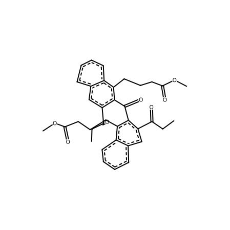 CCC(=O)c1cc2ccccc2c(CCCC(=O)OC)c1C(=O)c1c(C(=O)CC)cc2ccccc2c1CCCC(=O)OC